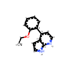 N#CCOc1ccccc1-c1ccnc2[nH]ccc12